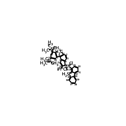 Cc1ccc2c(c1-c1cc([Si](C)(C)C)cc([Si](C)(C)C)c1)C=C(C(C)C)[CH]2[Zr]([Cl])([Cl])[c]1cccc2c1[SiH2]c1ccccc1-2